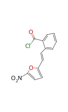 O=C(Cl)c1ccccc1C=Cc1ccc([N+](=O)[O-])o1